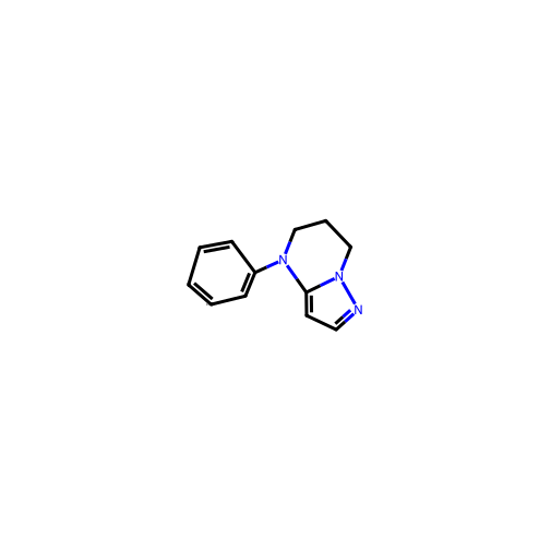 [c]1cccc(N2CCCn3nccc32)c1